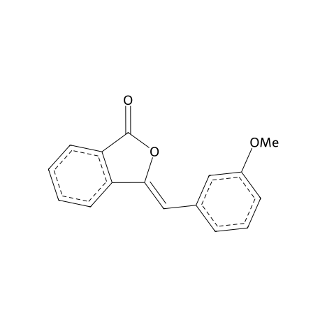 COc1cccc(C=C2OC(=O)c3ccccc32)c1